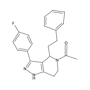 CC(=O)N1CCc2[nH]nc(-c3ccc(F)cc3)c2C1CCc1ccccc1